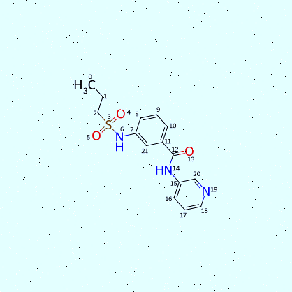 CCCS(=O)(=O)Nc1cccc(C(=O)Nc2cccnc2)c1